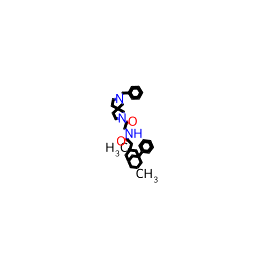 CC1CC2CC(C)(CC(=O)NCC(=O)N3CCC4(CCN(Cc5ccccc5)C4)C3)CC(c3ccccc3)(C1)C2